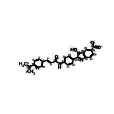 CN(C)c1ccc(/C=C/C(=O)Nc2ccc(-c3nc4ccc([N+](=O)[O-])cc4n3O)cc2)cn1